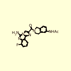 CC(=O)Nc1ccc2c(c1)CCN(C(=O)c1cn3c(N)nc4c(F)cccc4c3n1)C2